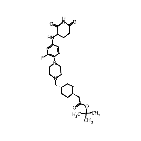 CC(C)(C)OC(=O)C[C@H]1CC[C@H](CN2CCN(c3ccc(NC4CCC(=O)NC4=O)cc3F)CC2)CC1